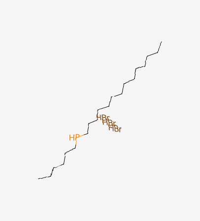 Br.Br.Br.CCCCCCCCCCCCCCPCCCCCC